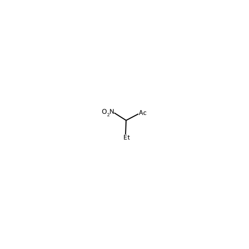 CCC(C(C)=O)[N+](=O)[O-]